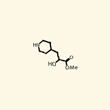 COC(=O)C(O)CC1CCNCC1